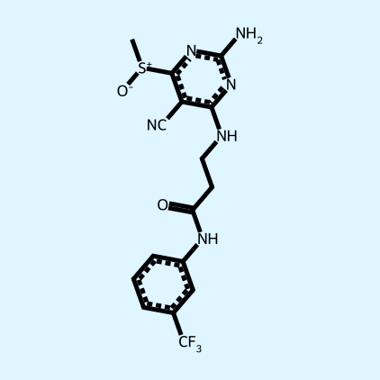 C[S+]([O-])c1nc(N)nc(NCCC(=O)Nc2cccc(C(F)(F)F)c2)c1C#N